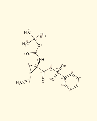 C=C[C@@H]1C[C@]1(NC(=O)OC(C)(C)C)C(=O)NS(=O)(=O)c1ccccc1